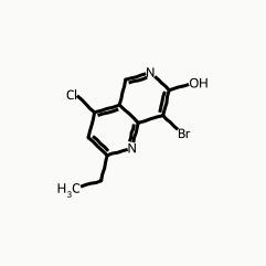 CCc1cc(Cl)c2cnc(O)c(Br)c2n1